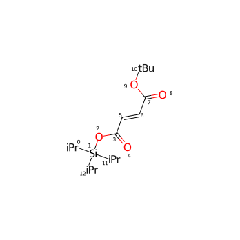 CC(C)[Si](OC(=O)C=CC(=O)OC(C)(C)C)(C(C)C)C(C)C